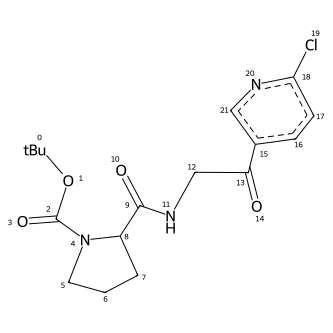 CC(C)(C)OC(=O)N1CCCC1C(=O)NCC(=O)c1ccc(Cl)nc1